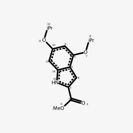 COC(=O)c1cc2c(OC(C)C)cc(OC(C)C)cc2[nH]1